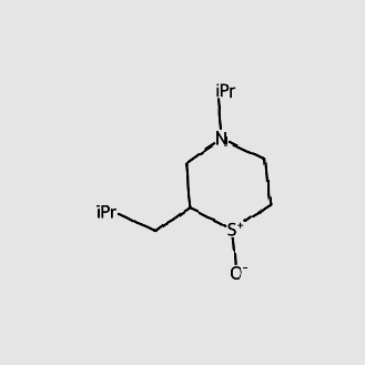 CC(C)CC1CN(C(C)C)CC[S+]1[O-]